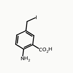 Nc1ccc(CI)cc1C(=O)O